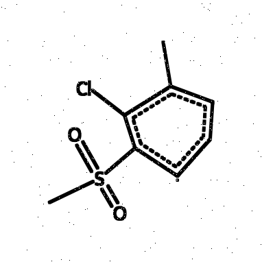 Cc1cc[c]c(S(C)(=O)=O)c1Cl